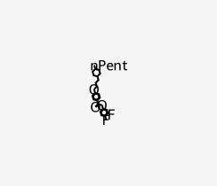 CCCCCC1CCC(CCCOc2ccc(C(=O)Oc3ccc(F)c(F)c3)cc2)CC1